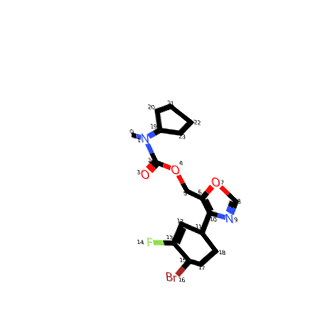 CN(C(=O)OCc1ocnc1C1C=C(F)C(Br)CC1)C1CCCC1